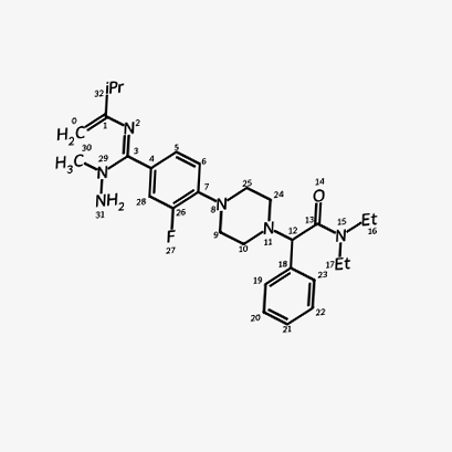 C=C(/N=C(/c1ccc(N2CCN(C(C(=O)N(CC)CC)c3ccccc3)CC2)c(F)c1)N(C)N)C(C)C